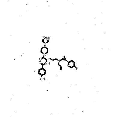 C=CCN(CCC[C@H](NC(=O)c1ccc(C#N)cc1)C(=O)N1CCC(N2C=NNC2)CC1)C1C[C@H]1c1ccc(F)cc1